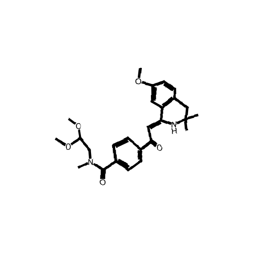 COc1ccc2c(c1)/C(=C/C(=O)c1ccc(C(=O)N(C)CC(OC)OC)cc1)NC(C)(C)C2